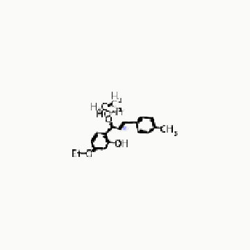 CC.CC(C)O.CCOc1ccc(C(=O)/C=C/c2ccc(C)cc2)c(O)c1